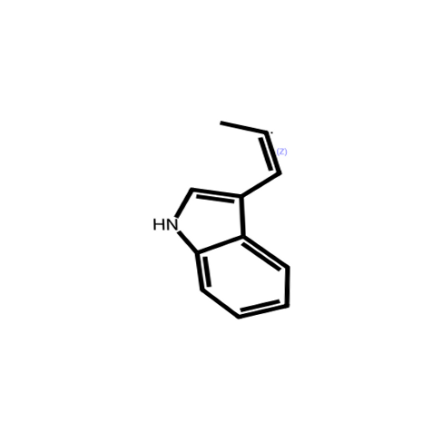 C/[C]=C\c1c[nH]c2ccccc12